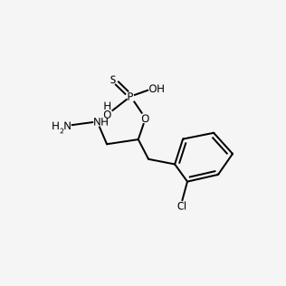 NNCC(Cc1ccccc1Cl)OP(O)(O)=S